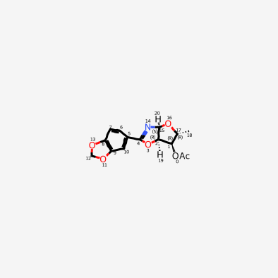 CC(=O)O[C@H]1[C@H]2OC(c3ccc4c(c3)OCO4)=N[C@H]2O[C@@H]1C